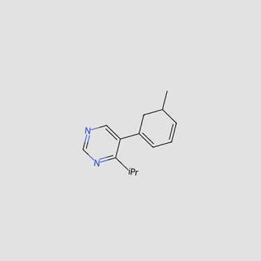 CC1C=CC=C(c2cncnc2C(C)C)C1